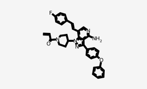 C=CC(=O)N1CCC(n2nc(-c3ccc(Oc4ccccc4)cc3)c3c(N)ncc(C=Cc4ccc(F)cc4)c32)CC1